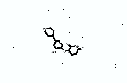 Cl.O=C1CC[C@@H](Oc2ccc(C3CCNCC3)cc2)C(=O)N1